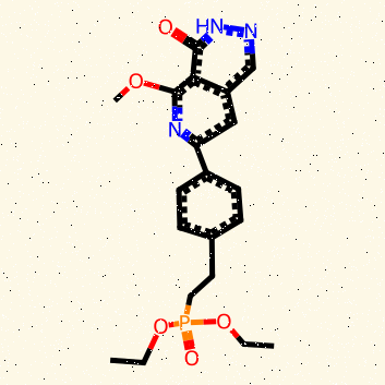 CCOP(=O)(CCc1ccc(-c2cc3cn[nH]c(=O)c3c(OC)n2)cc1)OCC